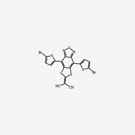 N#CC(C#N)=C1Sc2c(c(-c3ccc(Br)s3)c3nsnc3c2-c2ccc(Br)s2)S1